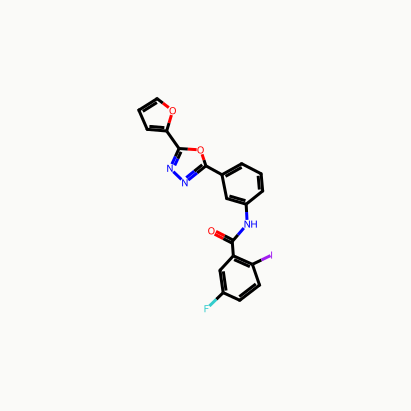 O=C(Nc1cccc(-c2nnc(-c3ccco3)o2)c1)c1cc(F)ccc1I